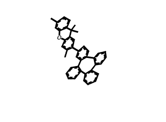 Cc1ccc2c(c1)Oc1cc(C)c(-c3ccc4c(c3)-c3ccccc3-c3ccccc3-c3ccccc3-4)cc1C2(C)C